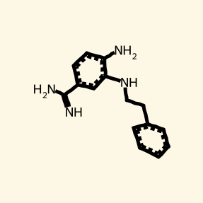 N=C(N)c1ccc(N)c(NCCc2ccccc2)c1